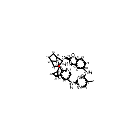 Cc1cnc(Nc2cnc(C3CC4CCC(C3)N4CC3CC3)c(C)c2)nc1Nc1ccc2oc(=O)[nH]c2c1